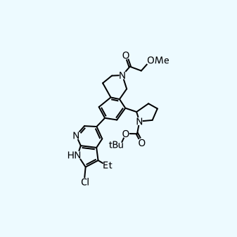 CCc1c(Cl)[nH]c2ncc(-c3cc4c(c(C5CCCN5C(=O)OC(C)(C)C)c3)CN(C(=O)COC)CC4)cc12